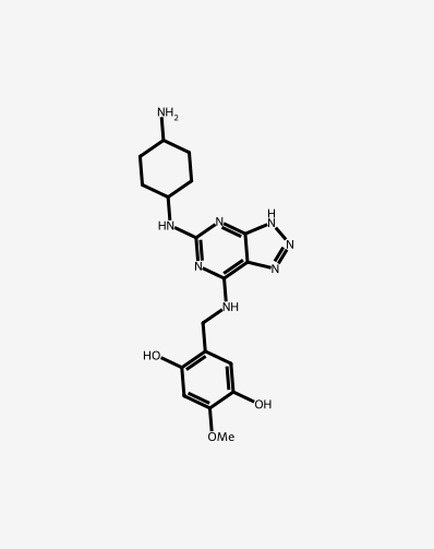 COc1cc(O)c(CNc2nc(NC3CCC(N)CC3)nc3[nH]nnc23)cc1O